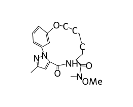 CON(C)C(=O)[C@@H]1CCCCCOc2cccc(c2)-n2nc(C)cc2C(=O)N1